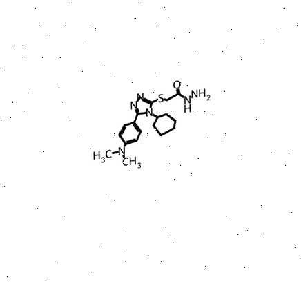 CN(C)c1ccc(-c2nnc(SCC(=O)NN)n2C2CCCCC2)cc1